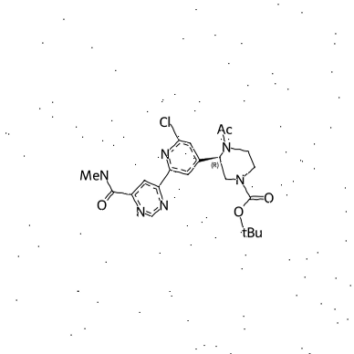 CNC(=O)c1cc(-c2cc([C@@H]3CN(C(=O)OC(C)(C)C)CCN3C(C)=O)cc(Cl)n2)ncn1